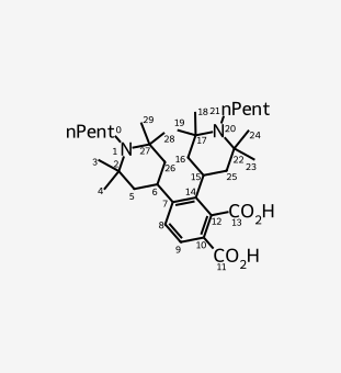 CCCCCN1C(C)(C)CC(c2ccc(C(=O)O)c(C(=O)O)c2C2CC(C)(C)N(CCCCC)C(C)(C)C2)CC1(C)C